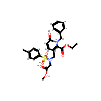 CCOC(=O)c1c(CN(CC(=O)OC)S(=O)(=O)c2ccc(C)cc2)ccc(=O)n1Cc1ccccc1